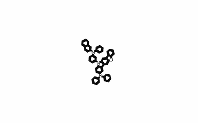 c1ccc(N(c2cccc(-n3c4ccc(N(c5ccccc5)c5ccccc5)cc4c4cc5oc6ccccc6c5cc43)c2)c2ccc3ccccc3c2)cc1